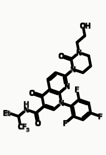 CCC(NC(=O)c1cn(-c2c(F)cc(F)cc2F)c2nc(N3CCCN(CCO)C3=O)ccc2c1=O)C(F)(F)F